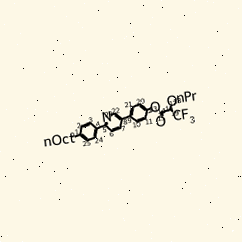 CCCCCCCCc1ccc(-c2ccc(-c3ccc(OC(=O)C(OCCC)C(F)(F)F)cc3)cn2)cc1